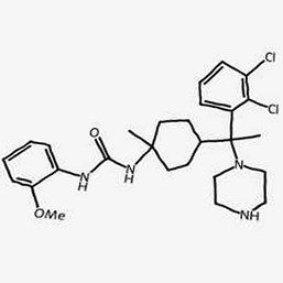 COc1ccccc1NC(=O)NC1(C)CCC(C(C)(c2cccc(Cl)c2Cl)N2CCNCC2)CC1